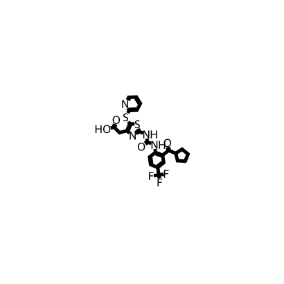 O=C(O)Cc1nc(NC(=O)Nc2ccc(C(F)(F)F)cc2C(=O)C2CCCC2)sc1Sc1ccccn1